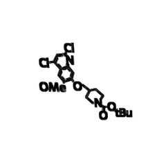 COc1cc2c(Cl)cc(Cl)nc2cc1OCC1CCN(C(=O)OC(C)(C)C)CC1